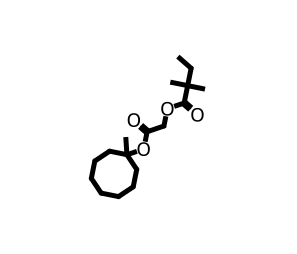 CCC(C)(C)C(=O)OCC(=O)OC1(C)CCCCCCC1